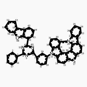 c1ccc(-c2nc(-c3cccc(-n4c5ccc6sc7ccc8c9ccccc9n9c%10cccc4c%10c5c6c7c89)c3)nc(-c3cccc4c3oc3ccccc34)n2)cc1